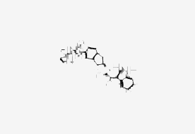 CC(C(=O)NC1Cc2ccc(S(=O)(=O)Nc3nccs3)cc2C1)c1c[nH]c2ccccc12